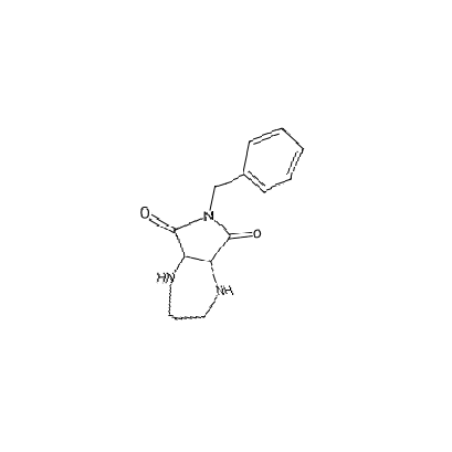 O=C1C2NCCNC2C(=O)N1Cc1ccccc1